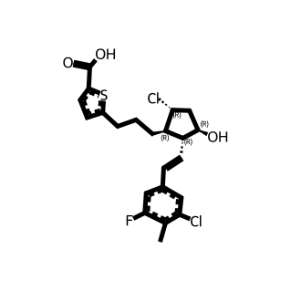 Cc1c(F)cc(C=C[C@@H]2[C@@H](CCCc3ccc(C(=O)O)s3)[C@H](Cl)C[C@H]2O)cc1Cl